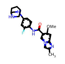 COc1cc2nc(C)cn2cc1C(=O)Nc1ccc(N2CC3CCC2CN3)cc1F